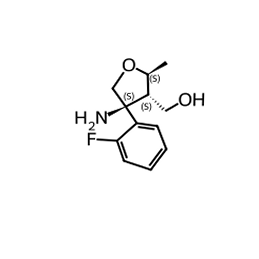 C[C@@H]1OC[C@@](N)(c2ccccc2F)[C@H]1CO